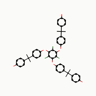 CC(C)(c1ccc(O)cc1)c1ccc(Oc2c(Cl)c(Oc3ccc(C(C)(C)c4ccc(O)cc4)cc3)c(Cl)c(Oc3ccc(C(C)(C)c4ccc(O)cc4)cc3)c2Cl)cc1